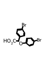 O=C(O)C(Oc1ccc(Br)cc1)c1ccc(Br)cc1